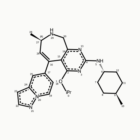 CC(C)Oc1nc(N[C@H]2CC[C@H](C)CC2)nc2c1C(c1ccn3nccc3c1)=C[C@@H](C)NC2